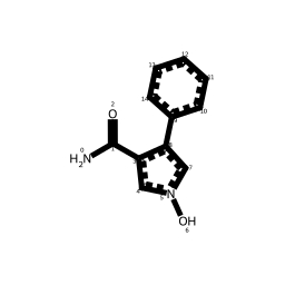 NC(=O)c1cn(O)cc1-c1ccccc1